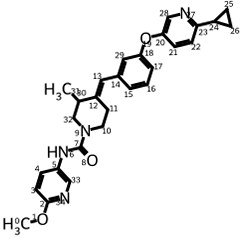 COc1ccc(NC(=O)N2CC/C(=C\c3cccc(Oc4ccc(C5CC5)nc4)c3)C(C)C2)cn1